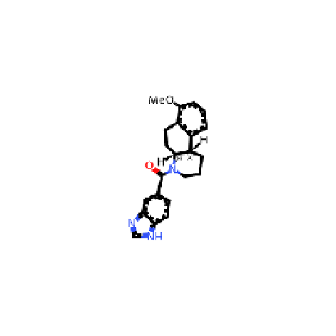 COc1cccc2c1CC[C@@H]1[C@H]2CCCN1C(=O)c1ccc2[nH]cnc2c1